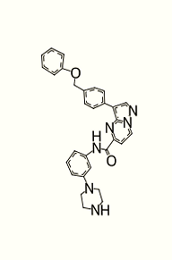 O=C(Nc1cccc(N2CCNCC2)c1)c1ccn2ncc(-c3ccc(COc4ccccc4)cc3)c2n1